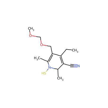 CCC1=C(C#N)C(C)N(S)C(C)=C1COCOC